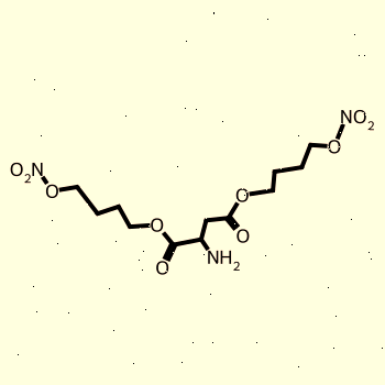 NC(CC(=O)OCCCCO[N+](=O)[O-])C(=O)OCCCCO[N+](=O)[O-]